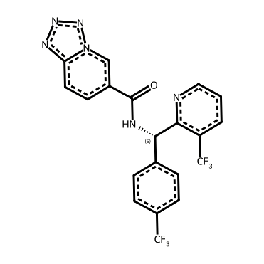 O=C(N[C@@H](c1ccc(C(F)(F)F)cc1)c1ncccc1C(F)(F)F)c1ccc2nnnn2c1